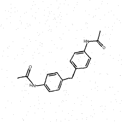 CC(=O)Nc1ccc(Cc2ccc(NC(C)=O)cc2)cc1